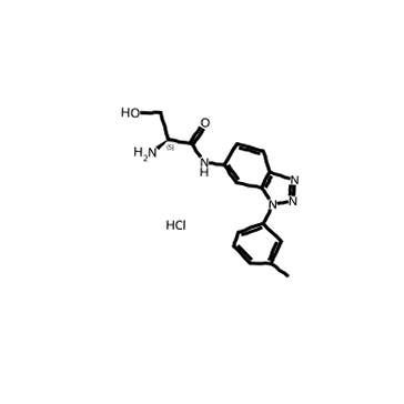 Cc1cccc(-n2nnc3ccc(NC(=O)[C@@H](N)CO)cc32)c1.Cl